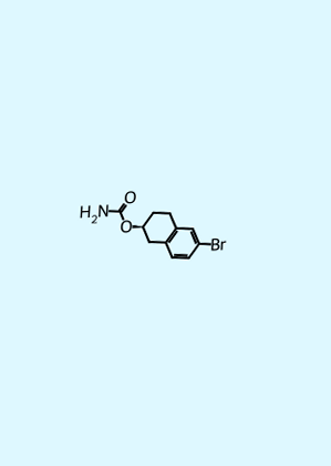 NC(=O)O[C@H]1CCc2cc(Br)ccc2C1